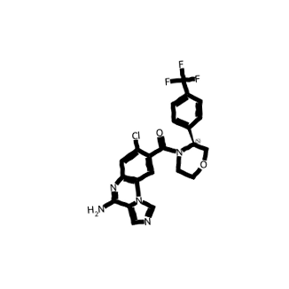 Nc1nc2cc(Cl)c(C(=O)N3CCOC[C@@H]3c3ccc(C(F)(F)F)cc3)cc2n2cncc12